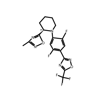 Cc1noc([C@H]2CCCCN2c2cc(F)c(-c3noc(C(F)(F)F)n3)cc2F)n1